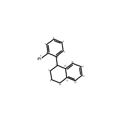 CC(C)c1ccccc1C1CCCc2ccccc21